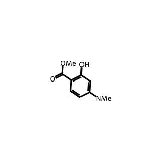 CNc1ccc(C(=O)OC)c(O)c1